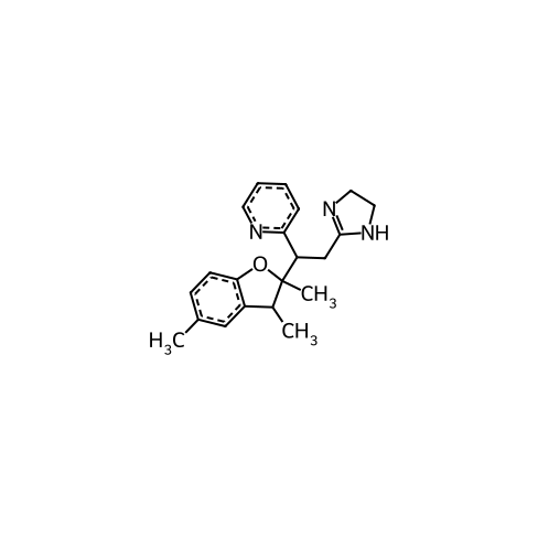 Cc1ccc2c(c1)C(C)C(C)(C(CC1=NCCN1)c1ccccn1)O2